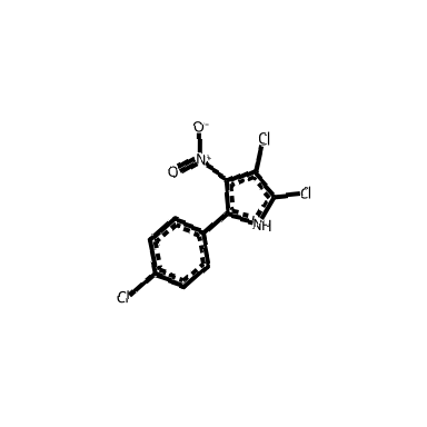 O=[N+]([O-])c1c(-c2ccc(Cl)cc2)[nH]c(Cl)c1Cl